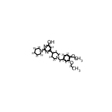 CCOc1cc(CN2CCC(c3cc(O)nc(N4CCCCC4)n3)CC2)ccc1OC